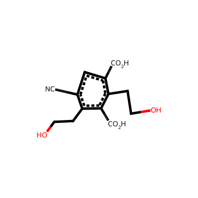 N#Cc1cc(C(=O)O)c(CCO)c(C(=O)O)c1CCO